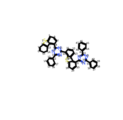 C1=Cc2sc3cccc(-c4nc(-c5ccccc5)nc(-c5cccc6c5sc5cccc(-c7nc(-c8ccccc8)nc(-c8ccccc8)n7)c56)n4)c3c2CC1